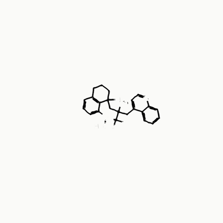 COc1cccc2c1C(C)(CC(O)(Cc1ccnc3ccccc13)C(F)(F)F)CCC2